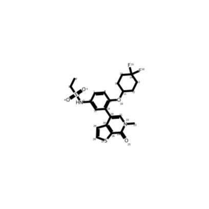 CCS(=O)(=O)Nc1ccc(OC2CCC(F)(F)CC2)c(-c2cn(C)c(=O)c3sccc23)c1